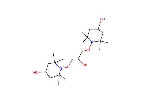 CC1(C)CC(O)CC(C)(C)N1OCC(O)CON1C(C)(C)CC(O)CC1(C)C